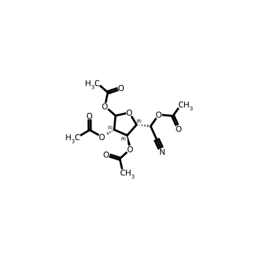 CC(=O)OC(C#N)[C@H]1OC(OC(C)=O)[C@@H](OC(C)=O)[C@@H]1OC(C)=O